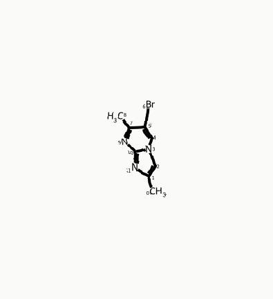 Cc1cn2cc(Br)c(C)nc2n1